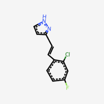 Fc1ccc(/C=C/c2cc[nH]n2)c(Cl)c1